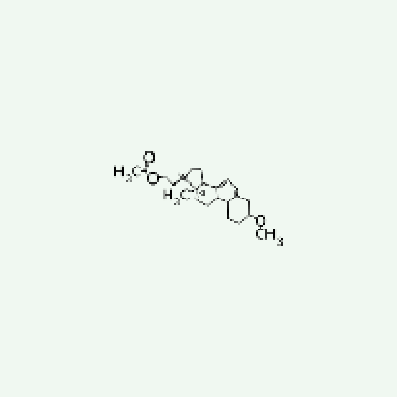 COC1CCC2C(=CC=C3C2CC[C@@]2(C)C3CC[C@@H]2CCOC(C)=O)C1